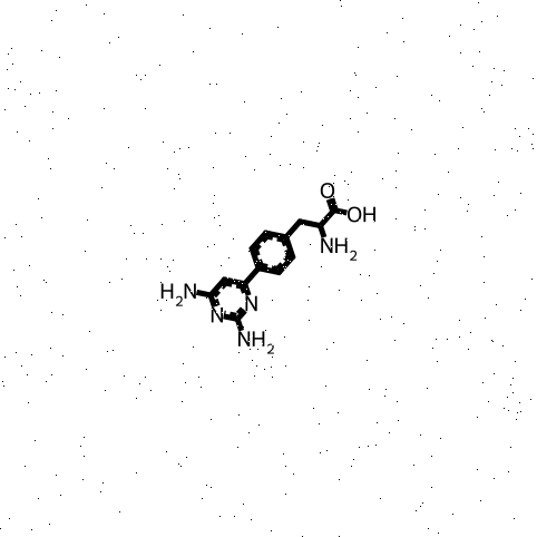 Nc1cc(-c2ccc(CC(N)C(=O)O)cc2)nc(N)n1